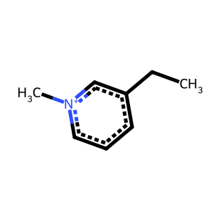 CCc1ccc[n+](C)c1